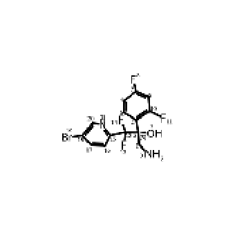 NC[C@@](O)(c1ccc(F)cc1F)C(F)(F)c1ccc(Br)cn1